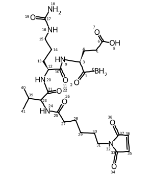 BC(=O)[C@H](CCC(=O)O)NC(=O)[C@H](CCCNC(N)=O)NC(=O)C(NC(=O)CCCCCN1C(=O)C=CC1=O)C(C)C